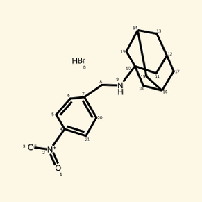 Br.O=[N+]([O-])c1ccc(CNC23CC4CC(CC(C4)C2)C3)cc1